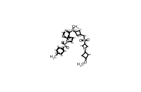 COC1CC(N2CC(S(=O)(=O)CC3CC(N(C)c4ncnc5c4ccn5S(=O)(=O)c4ccc(C)cc4)C3)C2)C1